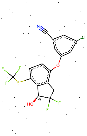 N#Cc1cc(Cl)cc(Oc2ccc(SC(F)(F)F)c3c2CC(F)(F)[C@H]3O)c1